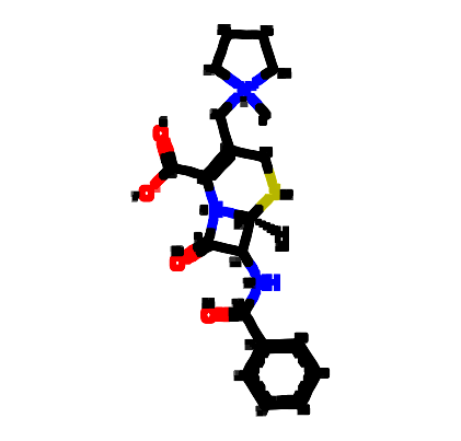 C[N+]1(CC2=C(C(=O)[O-])N3C(=O)C(NC(=O)c4ccccc4)[C@@H]3SC2)CCCC1